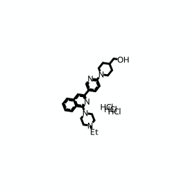 CCN1CCN(c2nc(-c3ccc(N4CCC(CO)CC4)nc3)cc3ccccc23)CC1.Cl.Cl.Cl